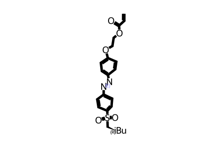 C=CC(=O)OCCOc1ccc(/N=N/c2ccc(S(=O)(=O)C[C@H](C)CC)cc2)cc1